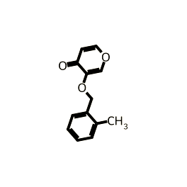 Cc1ccccc1COc1coccc1=O